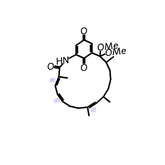 COC1(OC)C2=CC(=O)C=C(NC(=O)/C(C)=C/C=C\CC/C(C)=C\C(C)CCCC1C)C2=O